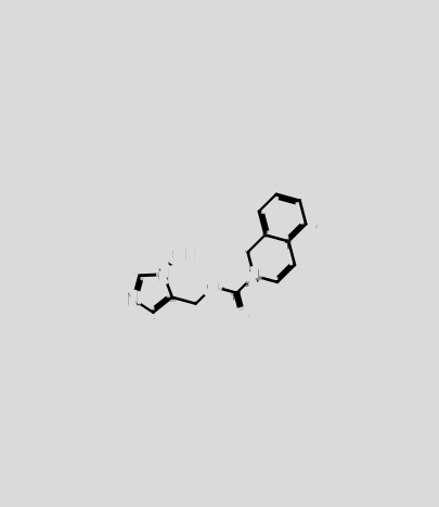 Cn1cncc1COC(=O)N1C=Cc2ccccc2C1